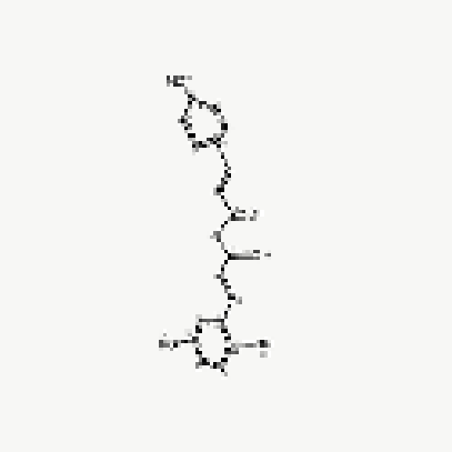 O=C(C=Cc1ccc(O)cc1)CC(=O)C=Cc1cc(O)ccc1O